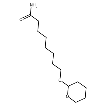 NC(=O)CCCCCCCOC1CCCCO1